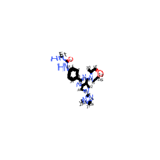 CCNC(=O)Nc1ccc(-c2nc3c(c(N4CCOCC4C)n2)CN(c2nccn2C)C3)cc1